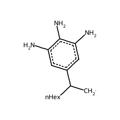 [CH2]C(CCCCCC)c1cc(N)c(N)c(N)c1